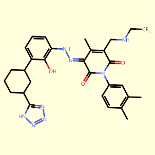 CC1=C(CNCC(F)(F)F)C(=O)N(c2ccc(C)c(C)c2)C(=O)C1=NNc1cccc(C2CCCC(c3nnn[nH]3)C2)c1O